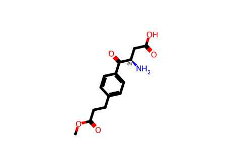 COC(=O)CCc1ccc(C(=O)[C@H](N)CC(=O)O)cc1